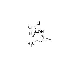 CCCC(=O)O.CO.ClC(Cl)Cl